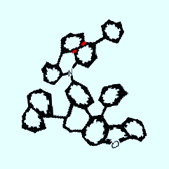 c1ccc(-c2ccc(N(c3ccc4c(c3)C(c3cccc5ccccc35)CCc3cc5oc6ccccc6c5c(-c5ccccc5)c3-4)c3ccccc3-c3ccccc3)cc2)cc1